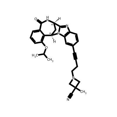 CC(C)Oc1cccc2c1[C@H]1C[C@@H](NC2=O)c2nc3ccc(C#CCCN4CC(C)(C#N)C4)cc3n21